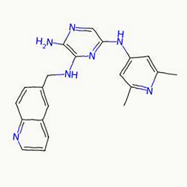 Cc1cc(Nc2cnc(N)c(NCc3ccc4ncccc4c3)n2)cc(C)n1